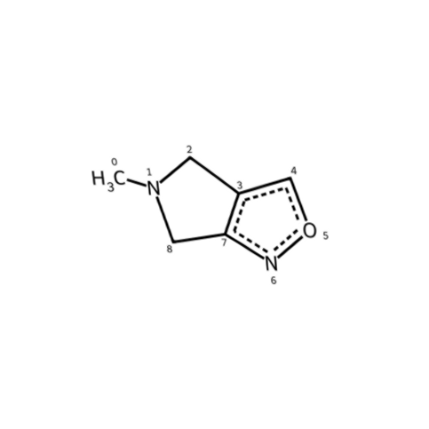 CN1Cc2conc2C1